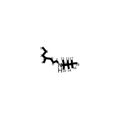 CCCC(C)CCCNC(C)(C)C(C)(C)C(C)(C)C